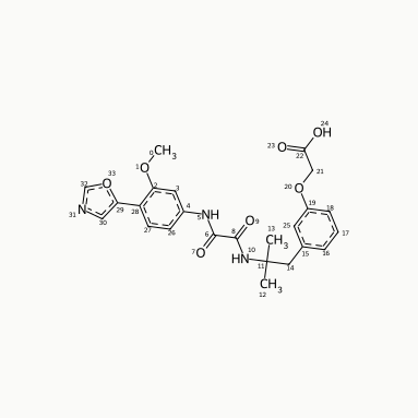 COc1cc(NC(=O)C(=O)NC(C)(C)Cc2cccc(OCC(=O)O)c2)ccc1-c1cnco1